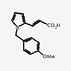 COc1ccc(Cn2cccc2/C=C/C(=O)O)cc1